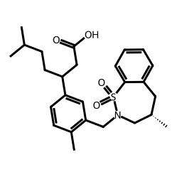 Cc1ccc(C(CCC(C)C)CC(=O)O)cc1CN1C[C@@H](C)Cc2ccccc2S1(=O)=O